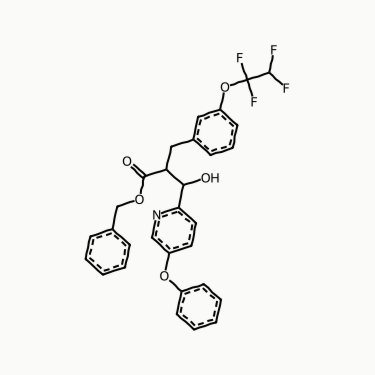 O=C(OCc1ccccc1)C(Cc1cccc(OC(F)(F)C(F)F)c1)C(O)c1ccc(Oc2ccccc2)cn1